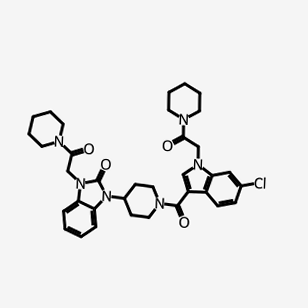 O=C(Cn1cc(C(=O)N2CCC(n3c(=O)n(CC(=O)N4CCCCC4)c4ccccc43)CC2)c2ccc(Cl)cc21)N1CCCCC1